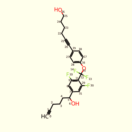 C#CCCCC(O)c1cc(F)c(C(F)(F)Oc2ccc(C#CCCCCO)cc2)c(F)c1